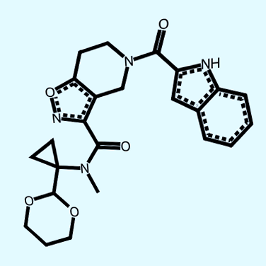 CN(C(=O)c1noc2c1CN(C(=O)c1cc3ccccc3[nH]1)CC2)C1(C2OCCCO2)CC1